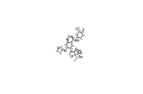 CCN(C(=O)C(F)(CC)P(=O)(O)O)c1cc2c(Nc3ccc(F)c(Cl)c3)ncnc2cc1O[C@H]1CCOC1